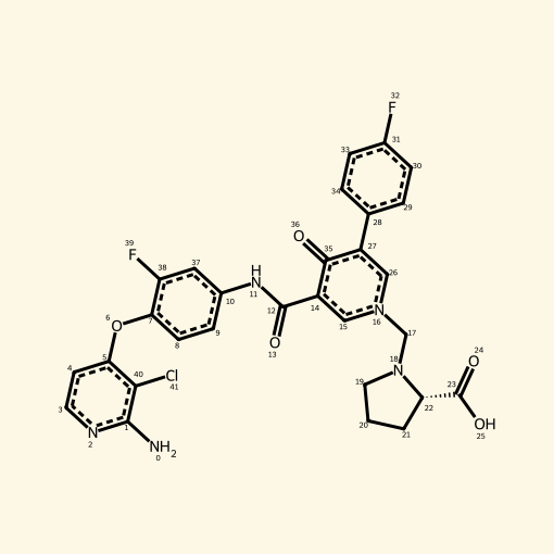 Nc1nccc(Oc2ccc(NC(=O)c3cn(CN4CCC[C@H]4C(=O)O)cc(-c4ccc(F)cc4)c3=O)cc2F)c1Cl